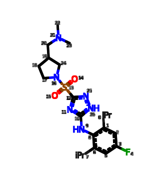 CC(C)c1cc(F)cc(C(C)C)c1Nc1nc(S(=O)(=O)N2CCC(CN(C)C)C2)n[nH]1